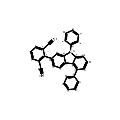 N#Cc1cccc(C#N)c1-c1ccc2c3c(-c4ccccc4)cccc3n(-c3ccccc3)c2c1